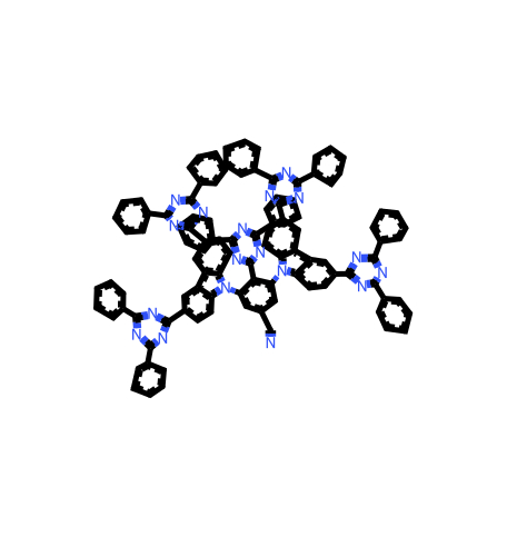 N#Cc1cc(-n2c3ccc(-c4nc(-c5ccccc5)nc(-c5ccccc5)n4)cc3c3cc(-c4nc(-c5ccccc5)nc(-c5ccccc5)n4)ccc32)c(-c2nc(-c3ccccc3)nc(-c3ccccc3)n2)c(-n2c3ccc(-c4nc(-c5ccccc5)nc(-c5ccccc5)n4)cc3c3cc(-c4nc(-c5ccccc5)nc(-c5ccccc5)n4)ccc32)c1